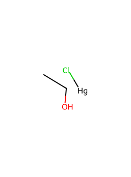 CCO.[Cl][Hg]